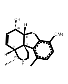 COc1ccc(C)c2c1O[C@H]1[C@@H](O)C=C[C@H]3[C@@H](C)NCC[C@@]231